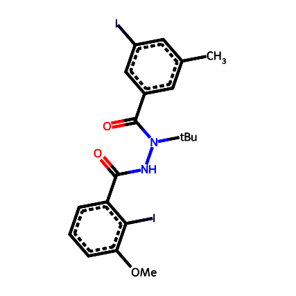 COc1cccc(C(=O)NN(C(=O)c2cc(C)cc(I)c2)C(C)(C)C)c1I